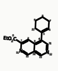 CCOC(=O)c1cc2c(C3=CCCCC3)cncc2cn1